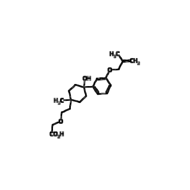 C=C(C)COc1cccc(C2(O)CCC(C)(CCOCC(=O)O)CC2)c1